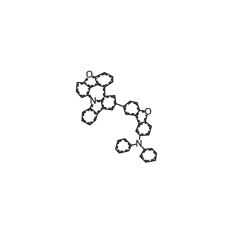 c1ccc(N(c2ccccc2)c2ccc3oc4ccc(-c5cc6c7cccc8oc9cccc(c9c87)n7c8ccccc8c(c5)c67)cc4c3c2)cc1